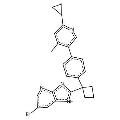 Cc1cc(C2CC2)ncc1-c1ccc(C2(c3nc4ncc(Br)cc4[nH]3)CCC2)cc1